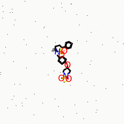 C[C@@H]1CCC(c2ccccc2)S(=O)(=O)N1Cc1ccc(OC2CCN(S(C)(=O)=O)CC2)cc1